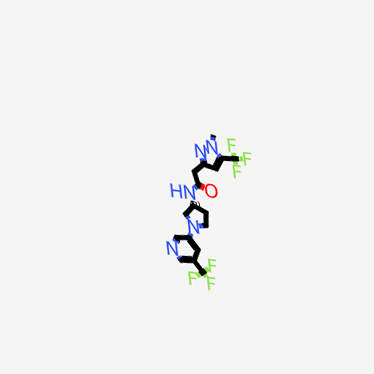 Cn1nc(CC(=O)N[C@@H]2CCN(c3cncc(C(F)(F)F)c3)C2)cc1C(F)(F)F